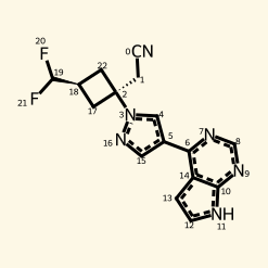 N#CC[C@]1(n2cc(-c3ncnc4[nH]ccc34)cn2)C[C@@H](C(F)F)C1